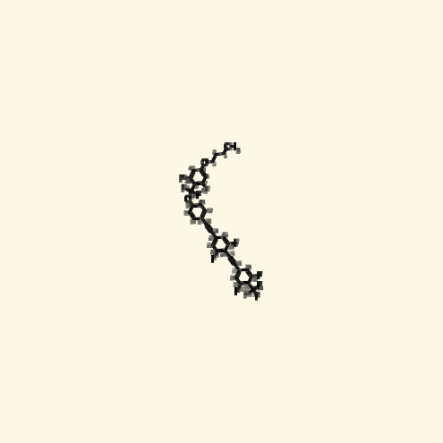 CCCCOc1cc(F)c(C(F)(F)Oc2ccc(C#Cc3cc(F)c(C#Cc4cc(F)c(C(F)(F)F)c(F)c4)c(F)c3)cc2)c(F)c1